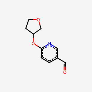 O=Cc1ccc(OC2CCOC2)nc1